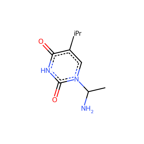 CC(C)c1cn(C(C)N)c(=O)[nH]c1=O